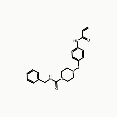 C=CC(=O)Nc1ccc(SN2CCN(C(=O)NCc3ccccc3)CC2)cc1